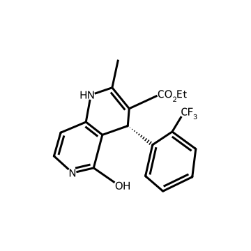 CCOC(=O)C1=C(C)Nc2ccnc(O)c2[C@H]1c1ccccc1C(F)(F)F